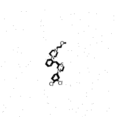 COCCN1CCN(c2ccccc2C=C2CN(c3ccc(Cl)c(Cl)c3)CCS2)CC1